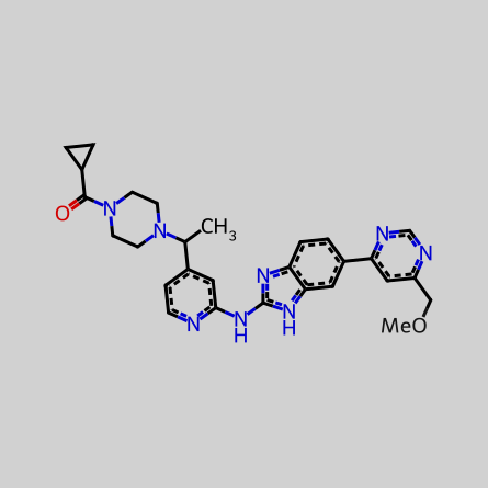 COCc1cc(-c2ccc3nc(Nc4cc(C(C)N5CCN(C(=O)C6CC6)CC5)ccn4)[nH]c3c2)ncn1